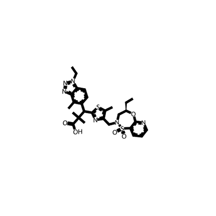 CC[C@@H]1CN(Cc2nc(C(c3ccc4c(nnn4CC)c3C)C(C)(C)C(=O)O)sc2C)S(=O)(=O)c2cccnc2O1